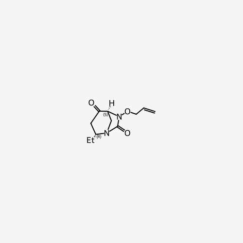 C=CCON1C(=O)N2C[C@H]1C(=O)C[C@H]2CC